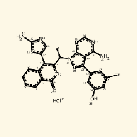 CC(c1oc(=O)c2ccccc2c1-c1cnc(N)s1)n1nc(-c2cc(O)cc(F)c2)c2c(N)ncnc21.Cl